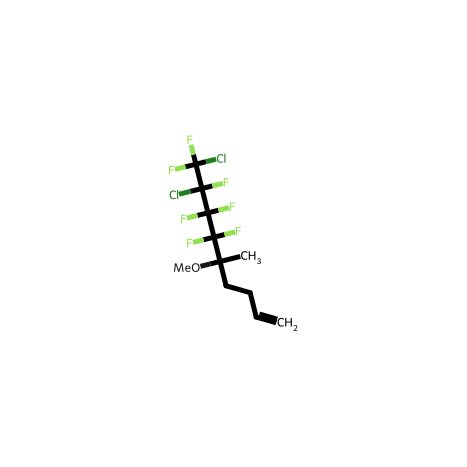 C=CCCC(C)(OC)C(F)(F)C(F)(F)C(F)(Cl)C(F)(F)Cl